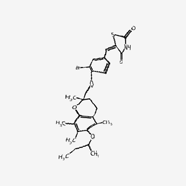 CCC(C)Oc1c(C)c(C)c2c(c1C)CCC(C)(COc1ccc(C=C3SC(=O)NC3=O)cc1Br)O2